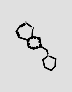 C1=Cc2ccc(CN3CCCCC3)cc2ON=C1